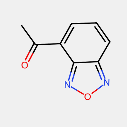 CC(=O)c1cccc2nonc12